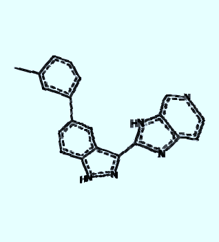 Cc1cccc(-c2ccc3[nH]nc(-c4nc5ccncc5[nH]4)c3c2)c1